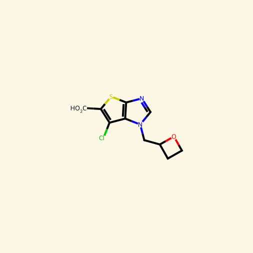 O=C(O)c1sc2ncn(CC3CCO3)c2c1Cl